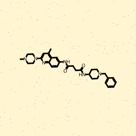 Cc1cc(N2CCN(C)CC2)nc2ccc(NC(=O)CCC(=O)NC3CCN(Cc4ccccc4)CC3)cc12